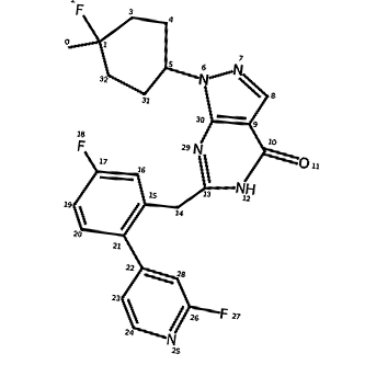 CC1(F)CCC(n2ncc3c(=O)[nH]c(Cc4cc(F)ccc4-c4ccnc(F)c4)nc32)CC1